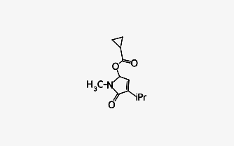 CC(C)C1=CC(OC(=O)C2CC2)N(C)C1=O